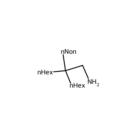 CCCCCCCCCC(CN)(CCCCCC)CCCCCC